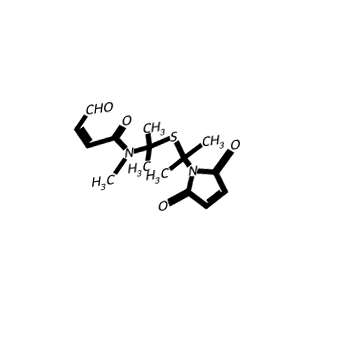 CN(C(=O)/C=C\C=O)C(C)(C)SC(C)(C)N1C(=O)C=CC1=O